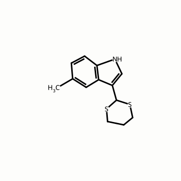 Cc1ccc2[nH]cc(C3SCCCS3)c2c1